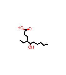 CCCCCC(O)C(CC)CCC(=O)O